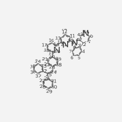 C1=CC2c3ccccc3N(c3cccc(-c4cccc(-c5ccc(C=C(c6ccccc6)c6ccccc6)cc5)n4)n3)C2C=N1